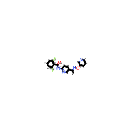 C/C(=N\Oc1cccnc1)c1ccc(NC(=O)c2c(F)cccc2F)nc1